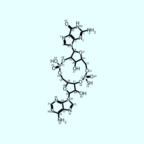 Nc1nc2c(ncn2C2OC3COP(=O)(S)OC4C(COP(=O)(O)OC2C3O)OC(n2cnc3c(N)ncnc32)C4O)c(=O)[nH]1